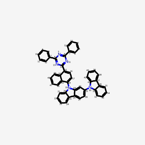 c1ccc(-c2nc(-c3ccccc3)nc(-c3ccc(-n4c5ccccc5c5ccc(-n6c7ccccc7c7ccccc76)cc54)c4ccccc34)n2)cc1